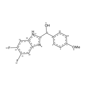 COc1ccc(C(O)c2nc3cc(F)c(F)cc3[nH]2)cc1